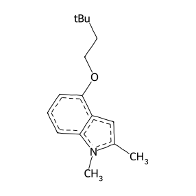 Cc1cc2c(OCCC(C)(C)C)cccc2n1C